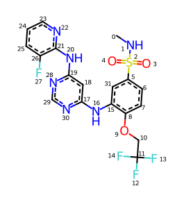 CNS(=O)(=O)c1ccc(OCC(F)(F)F)c(Nc2cc(Nc3ncccc3F)ncn2)c1